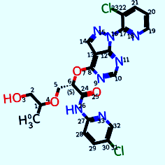 CC(CO)OC[C@H](Oc1ncnc2c1cnn2-c1ncccc1Cl)C(=O)Nc1ccc(Cl)cn1